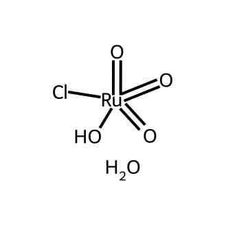 O.[O]=[Ru](=[O])(=[O])([OH])[Cl]